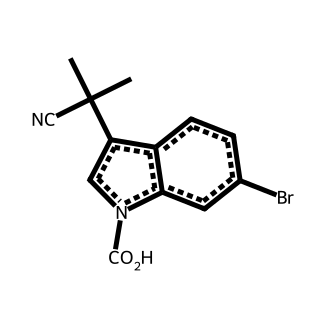 CC(C)(C#N)c1cn(C(=O)O)c2cc(Br)ccc12